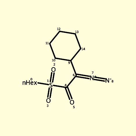 CCCCCCS(=O)(=O)C(=O)C(=[N+]=[N-])C1CCCCC1